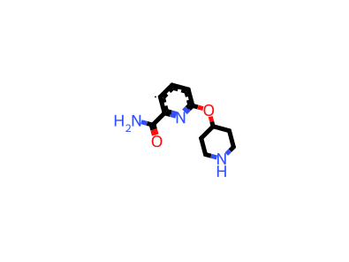 NC(=O)c1[c]ccc(OC2CCNCC2)n1